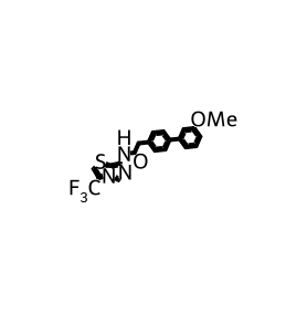 COc1cccc(-c2ccc(CC(=O)Nc3ncn4c(C(F)(F)F)csc34)cc2)c1